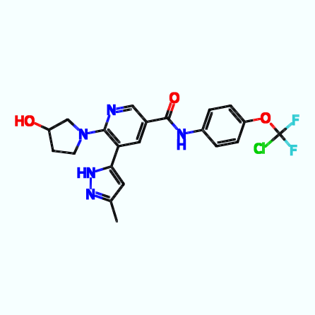 Cc1cc(-c2cc(C(=O)Nc3ccc(OC(F)(F)Cl)cc3)cnc2N2CCC(O)C2)[nH]n1